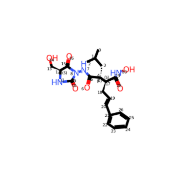 CC(C)C[C@@H](C(=O)NN1C(=O)N[C@@H](CO)C1=O)[C@H](CC=Cc1ccccc1)C(=O)NO